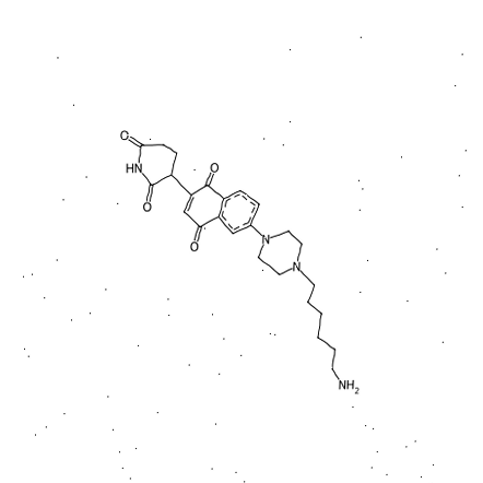 NCCCCCCN1CCN(c2ccc3c(c2)C(=O)C=C(C2CCC(=O)NC2=O)C3=O)CC1